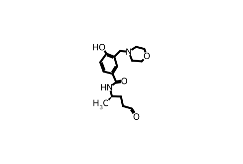 C[C@H](CCC=O)NC(=O)c1ccc(O)c(CN2CCOCC2)c1